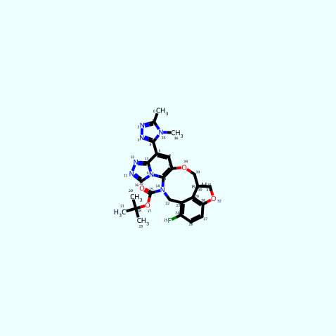 Cc1nnc(-c2cc3c(n4cnnc24)N(C(=O)OC(C)(C)C)Cc2c(F)ccc4c2[C@H](CO4)CO3)n1C